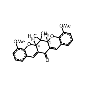 COc1cccc2c1O[C@@H]1C(=C2)C(=O)C2=Cc3cccc(OC)c3O[C@@H]2C1(C)C